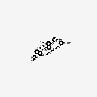 COCCOCCOCCOc1cc(Nc2nccc(Oc3ccc(N(C(=O)OC(=O)N(c4ccc(Oc5ccnc(Cl)n5)c5ccccc45)C(C)(C)C)C(C)(C)C)c4ccccc34)n2)cc(OC)c1